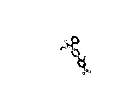 CCNC(=O)C(c1ccccc1)N1CCN(c2ccc([N+](=O)[O-])cc2F)CC1